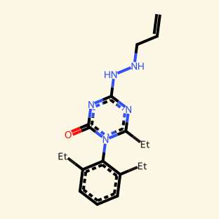 C=CCNNc1nc(CC)n(-c2c(CC)cccc2CC)c(=O)n1